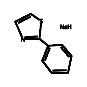 [NaH].c1ccc(-c2nccs2)cc1